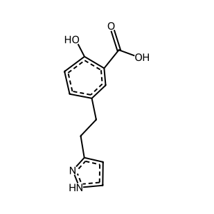 O=C(O)c1cc(CCc2cc[nH]n2)ccc1O